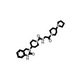 O=C(CNC(=O)N1CCC(N2Cc3ccccc3NC2=O)CC1)N1CCC(N2CCCC2)CC1